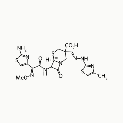 CON=C(C(=O)NC1C(=O)N2CC(C=NNc3nc(C)cs3)(C(=O)O)CS[C@H]12)c1csc(N)n1